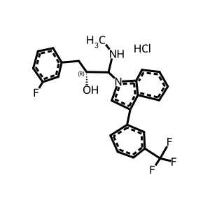 CNC([C@H](O)Cc1cccc(F)c1)n1cc(-c2cccc(C(F)(F)F)c2)c2ccccc21.Cl